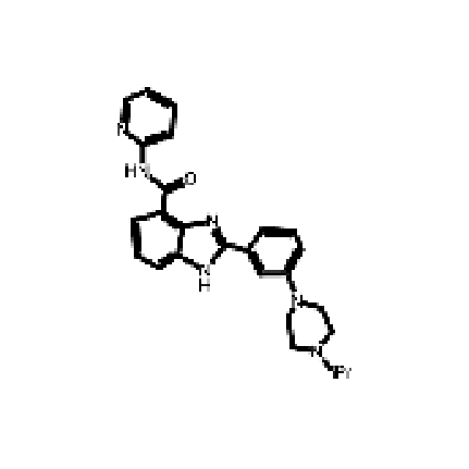 CC(C)N1CCN(c2cccc(-c3nc4c(C(=O)Nc5ccccn5)cccc4[nH]3)c2)CC1